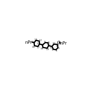 CCCOC1CCCC(C2CCC(C3CCC(CCC)CC3)CC2)C1